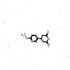 COc1ccc(C2CC(=O)OC(=O)C2)cn1